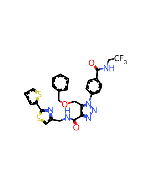 O=C(NCC(F)(F)F)c1ccc(-n2nnc(C(=O)NCc3csc(-c4cccs4)n3)c2COCc2ccccc2)cc1